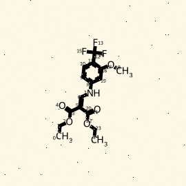 CCOC(=O)C(=CNc1ccc(C(F)(F)F)c(OC)c1)C(=O)OCC